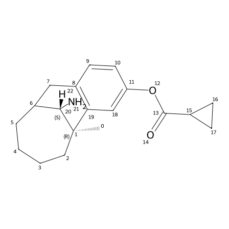 C[C@@]12CCCCC(Cc3ccc(OC(=O)C4CC4)cc31)[C@@H]2N